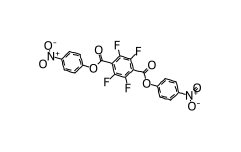 O=C(Oc1ccc([N+](=O)[O-])cc1)c1c(F)c(F)c(C(=O)Oc2ccc([N+](=O)[O-])cc2)c(F)c1F